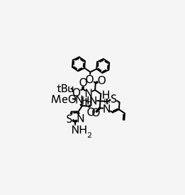 C=CC1=CN2C(=O)C(CC(NC(=O)OC(C)(C)C)C(=O)OC(c3ccccc3)c3ccccc3)(NC(=O)C(=NOC)c3csc(N)n3)[C@@H]2SC1